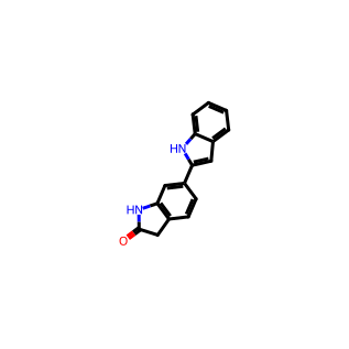 O=C1Cc2ccc(-c3cc4ccccc4[nH]3)cc2N1